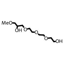 COCC(O)COCCOCCOCCO